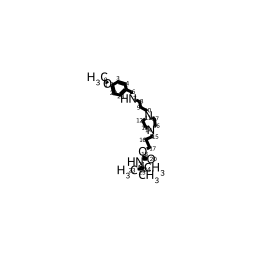 COc1ccc(CNCCCN2CCN(CCCOC(=O)NC(C)(C)C)CC2)cc1